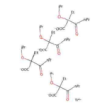 CCCC(=O)C(CC)(OC(C)C)C(=O)[O-].CCCC(=O)C(CC)(OC(C)C)C(=O)[O-].CCCC(=O)C(CC)(OC(C)C)C(=O)[O-].CCCC(=O)C(CC)(OC(C)C)C(=O)[O-].[Ti+4]